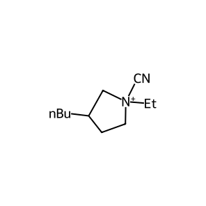 CCCCC1CC[N+](C#N)(CC)C1